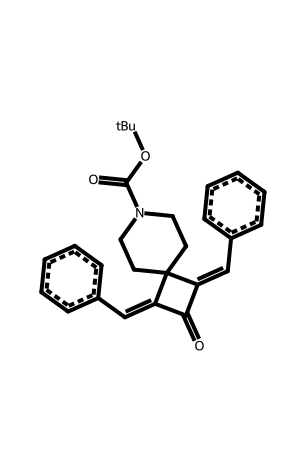 CC(C)(C)OC(=O)N1CCC2(CC1)/C(=C\c1ccccc1)C(=O)/C2=C/c1ccccc1